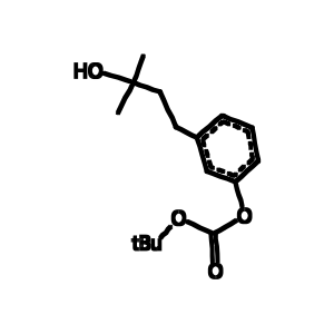 CC(C)(O)CCc1cccc(OC(=O)OC(C)(C)C)c1